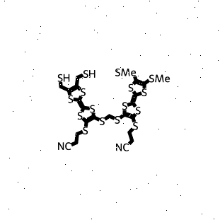 CSC1=C(SC)SC(=C2SC(SCCC#N)=C(SCSC3=C(SCCC#N)SC(=C4SC(CS)=C(CS)S4)S3)S2)S1